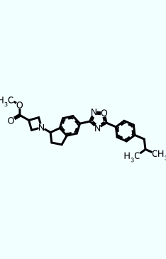 COC(=O)C1CN(C2CCc3cc(-c4noc(-c5ccc(CC(C)C)cc5)n4)ccc32)C1